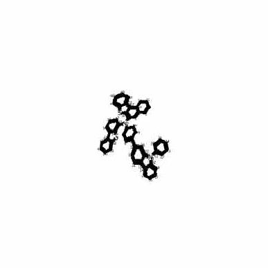 C1=Cc2cc(N(C3=CC=C(c4ccc5c6ccccc6n(-c6ccccc6)c5c4)CC3)c3cccc4c3sc3ccccc34)c3sc4ccccc4c3c2CC1